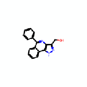 OCc1n[nH]c2c1nc(-c1ccccc1)c1ccccc12